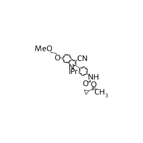 COCCOc1ccc2c(C#N)c(-c3ccc(NC(=O)O[C@H](C)C4CC4)cc3)n(C(C)C)c2c1